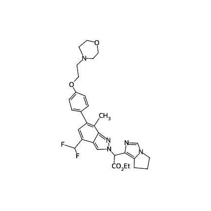 CCOC(=O)C(c1ncn2c1CCC2)n1cc2c(C(F)F)cc(-c3ccc(OCCN4CCOCC4)cc3)c(C)c2n1